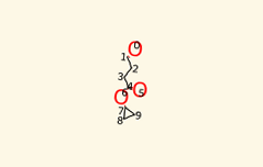 O=CCCC(=O)OC1CC1